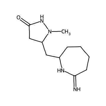 CN1NC(=O)CC1CC1CCCCC(=N)N1